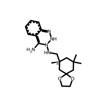 CC1(C)CC2(C[C@](C)(CNN3NN=c4ccccc4=C3N)C1)OCCO2